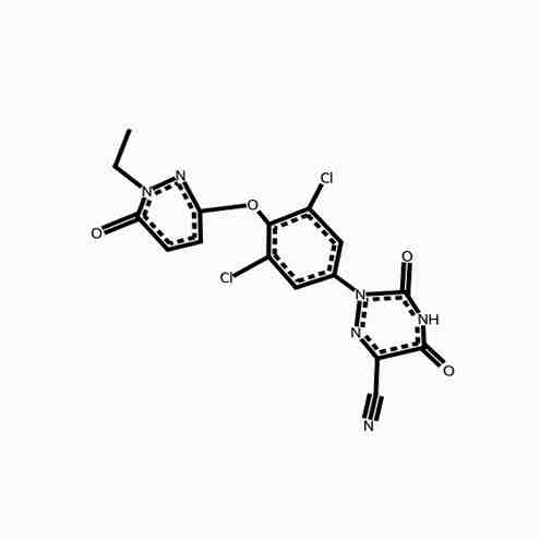 CCn1nc(Oc2c(Cl)cc(-n3nc(C#N)c(=O)[nH]c3=O)cc2Cl)ccc1=O